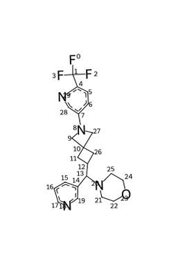 FC(F)(F)c1ccc(N2CC3(CC(C(c4cccnc4)N4CCOCC4)C3)C2)cn1